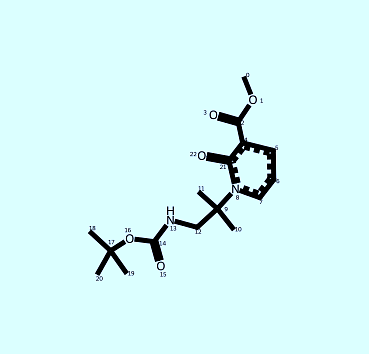 COC(=O)c1cccn(C(C)(C)CNC(=O)OC(C)(C)C)c1=O